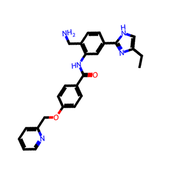 CCc1c[nH]c(-c2ccc(CN)c(NC(=O)c3ccc(OCc4ccccn4)cc3)c2)n1